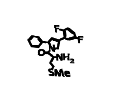 CSCC[C@H](N)C(=O)N1CC(c2cc(F)ccc2F)=CC1c1ccccc1